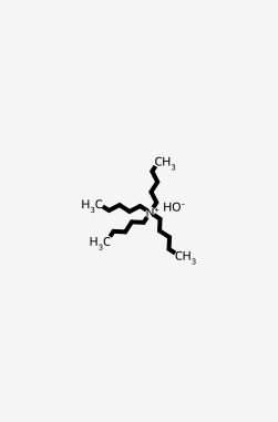 CCCCC[N+](CCCCC)(CCCCC)CCCCC.[OH-]